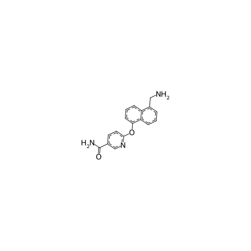 NCc1cccc2c(Oc3ccc(C(N)=O)cn3)cccc12